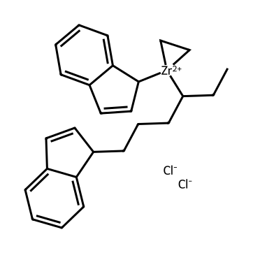 CC[CH](CCCC1C=Cc2ccccc21)[Zr+2]1([CH]2C=Cc3ccccc32)[CH2][CH2]1.[Cl-].[Cl-]